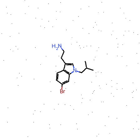 CC(C)Cn1cc(CCN)c2ccc(Br)cc21